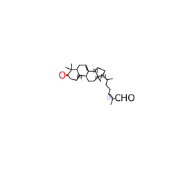 C/C(C=O)=C/CCC(C)[C@@H]1CC[C@]2(C)C3=CCC4C(C)(C)C(=O)CC[C@]4(C)C3CC[C@@]12C